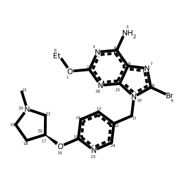 CCOc1nc(N)c2nc(Br)n(Cc3ccc(O[C@H]4CCN(C)C4)nc3)c2n1